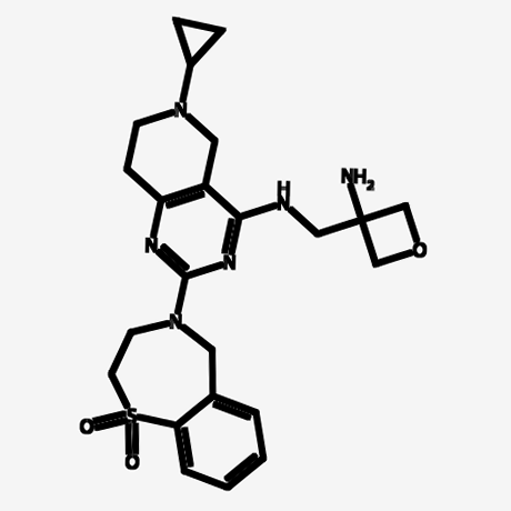 NC1(CNc2nc(N3CCS(=O)(=O)c4ccccc4C3)nc3c2CN(C2CC2)CC3)COC1